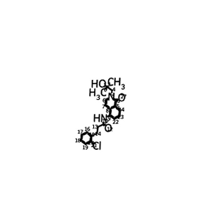 CC(C)(O)Cn1ccc2c(NC(=O)CCc3ccccc3Cl)cccc2c1=O